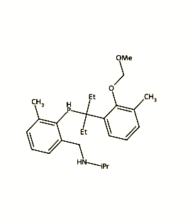 CCC(CC)(Pc1c(C)cccc1CNC(C)C)c1cccc(C)c1OCOC